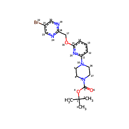 CC(C)(C)OC(=O)N1CCN(c2cccc(OCc3ncc(Br)cn3)n2)CC1